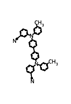 Cc1cccc(N(c2ccc(-c3ccc(N(c4cccc(C)c4)c4cccc(C#N)c4)cc3)cc2)c2cccc(C#N)c2)c1